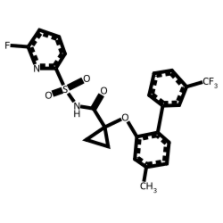 Cc1ccc(-c2cccc(C(F)(F)F)c2)c(OC2(C(=O)NS(=O)(=O)c3cccc(F)n3)CC2)c1